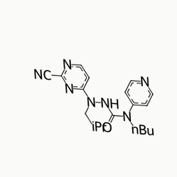 CCCCN(C(=O)NN(CC(C)C)c1ccnc(C#N)n1)c1ccncc1